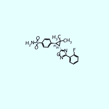 CC1(C)[C@H](c2ccc(S(N)(=O)=O)cc2)[C@H]1c1nc(-c2ccccc2F)no1